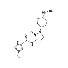 CC(C)(C)NC1CCC(N2CCC(NC(=O)c3cc(C(C)(C)C)c[nH]3)C2=O)CC1